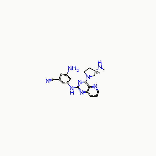 CN[C@H]1CCN(c2nc(Nc3cc(N)cc(C#N)c3)nc3cccnc23)C1